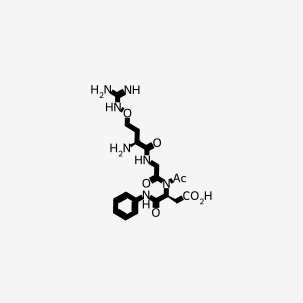 CC(=O)N(C(=O)CNC(=O)[C@@H](N)CCONC(=N)N)[C@@H](CC(=O)O)C(=O)Nc1ccccc1